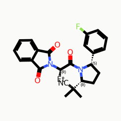 CC[C@H](C(=O)N1[C@H](c2cccc(F)c2)CC[C@@H]1C(C)(C)C#N)N1C(=O)c2ccccc2C1=O